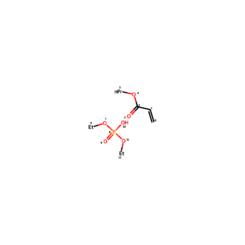 C=CC(=O)OCCC.CCOP(=O)(O)OCC